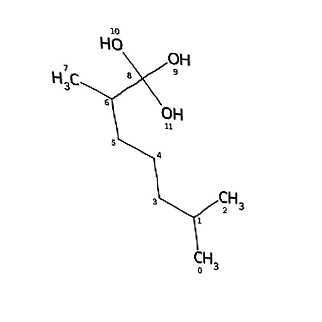 CC(C)CCCC(C)C(O)(O)O